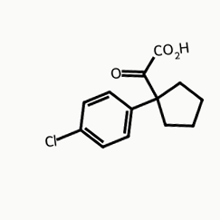 O=C(O)C(=O)C1(c2ccc(Cl)cc2)CCCC1